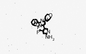 Nc1cc(C(F)F)c(-c2cc(N3C4CCC3COC4)nc(N3CC4CCC3COC4)n2)cn1